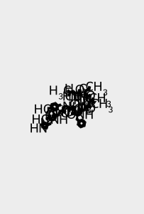 CC[C@H](C)[C@H](NC(=O)[C@@H](N)CC(C)C)C(=O)N[C@H](C(=O)NCC(=O)N[C@@H](Cc1ccccc1)C(=O)N[C@@H](C)C(=O)N[C@@H](Cc1ccc(O)cc1)C(=O)NCC(=O)N[C@@H](Cc1c[nH]cn1)C(=O)O)C(C)C